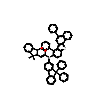 CC1(C)c2ccccc2C2C=CC(N(c3ccc4c(c3)C(c3ccccc3)(c3ccccc3)c3ccccc3-4)c3ccc4oc5c6ccccc6c(-c6ccccc6)cc5c4c3-c3ccccc3)=CC21